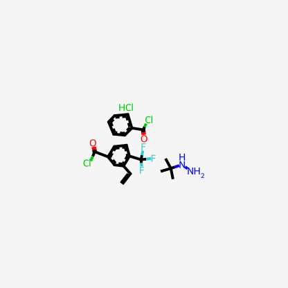 C=Cc1cc(C(=O)Cl)ccc1C(F)(F)F.CC(C)(C)NN.Cl.O=C(Cl)c1ccccc1